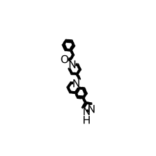 O=C(Cc1ccccc1)N1CCC(CN2CCCc3cc(-c4cn[nH]c4)ccc32)CC1